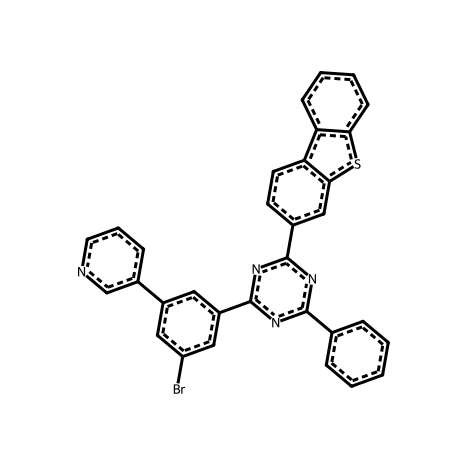 Brc1cc(-c2cccnc2)cc(-c2nc(-c3ccccc3)nc(-c3ccc4c(c3)sc3ccccc34)n2)c1